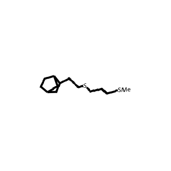 CSCCCSCCC1CC2CCC1C2